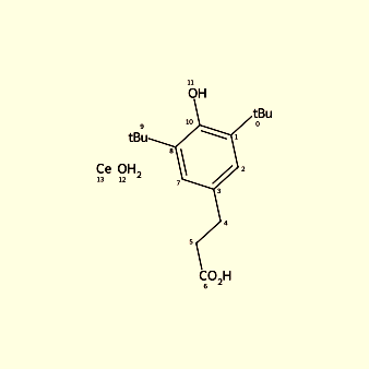 CC(C)(C)c1cc(CCC(=O)O)cc(C(C)(C)C)c1O.O.[Ce]